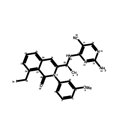 COc1cccc(-n2c([C@H](C)Nc3nc(N)ncc3C#N)cc3cccc(CI)c3c2=O)c1